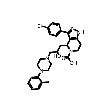 Cc1ccccc1N1CCN(CC(O)CC2c3c(-c4ccc(Cl)cc4)n[nH]c3CCN2C(=O)O)CC1